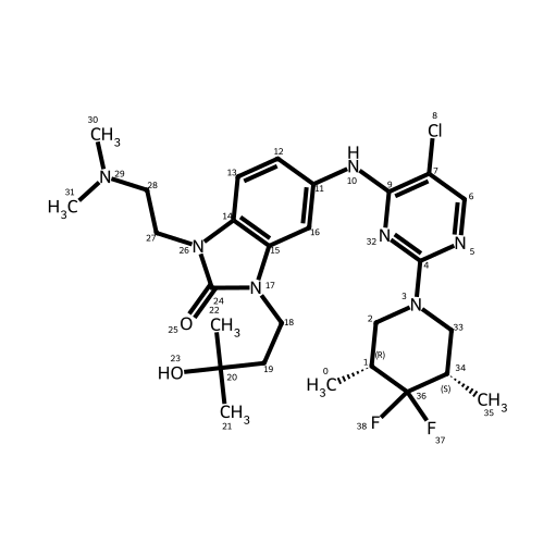 C[C@@H]1CN(c2ncc(Cl)c(Nc3ccc4c(c3)n(CCC(C)(C)O)c(=O)n4CCN(C)C)n2)C[C@H](C)C1(F)F